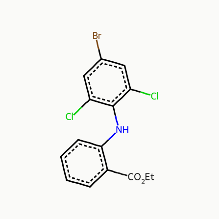 CCOC(=O)c1ccccc1Nc1c(Cl)cc(Br)cc1Cl